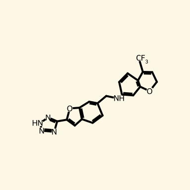 FC(F)(F)C1=CCOc2cc(NCc3ccc4cc(-c5nn[nH]n5)oc4c3)ccc21